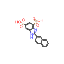 O=S(=O)(O)c1cc(S(=O)(=O)O)c2nc(-c3ccc4ccccc4c3)[nH]c2c1